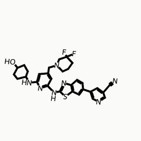 N#Cc1cncc(-c2ccc3nc(Nc4cc(CN5CCCC(F)(F)C5)cc(NC5CCC(O)CC5)n4)sc3c2)c1